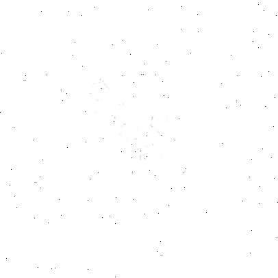 CSCC[C@H](NC(=O)c1ccc(NC(=O)c2cnccc2C(F)(F)F)cc1-c1ccccc1)C(=O)O